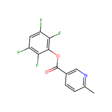 Cc1ccc(C(=O)Oc2c(F)c(F)cc(F)c2F)cn1